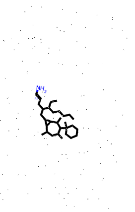 CCCCCC(CC)C(C/C=C/N)CC1C2C(C)CC(C)C(C3(C)CCCCC3)C(C)C12